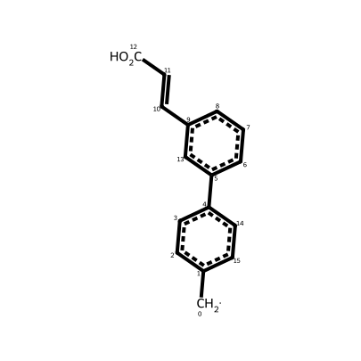 [CH2]c1ccc(-c2cccc(C=CC(=O)O)c2)cc1